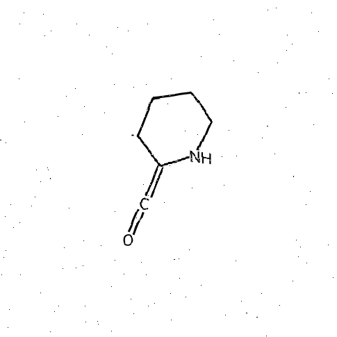 O=C=C1[CH]CCCN1